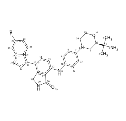 CC(C)(N)[C@H]1CN(c2ccc(Nc3ccc(-c4cnc5cc(F)ccn45)c4c3C(=O)NC4)nc2)CCO1